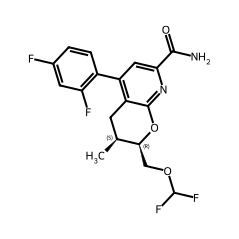 C[C@H]1Cc2c(-c3ccc(F)cc3F)cc(C(N)=O)nc2O[C@H]1COC(F)F